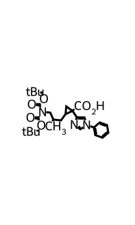 CC(CC1CC1(C(=O)O)c1cn(-c2ccccc2)cn1)CN(C(=O)OC(C)(C)C)C(=O)OC(C)(C)C